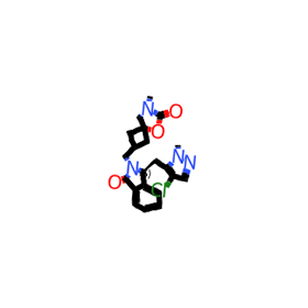 CN1CC2(CC(CN3C(=O)c4ccccc4[C@@H]3Cc3c(Cl)cnn3C)C2)OC1=O